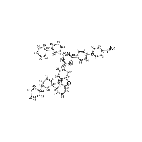 N#Cc1ccc(-c2ccc(-c3nc(-c4cccc(-c5ccccc5)c4)nc(-c4ccc5c(c4)oc4cccc(-c6cccc(-c7ccccc7)c6)c45)n3)cc2)cc1